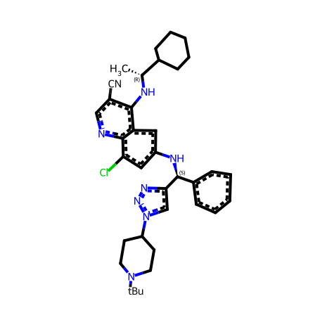 C[C@@H](Nc1c(C#N)cnc2c(Cl)cc(N[C@@H](c3ccccc3)c3cn(C4CCN(C(C)(C)C)CC4)nn3)cc12)C1CCCCC1